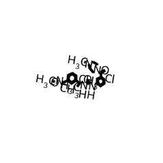 CO/N=C(\C)c1cccc(C(C)(C)NC(=O)Nc2ccc(Cl)c(C(=O)N3CCN(C)CC3)c2)c1